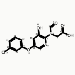 O=CN(CC(=O)O)c1ncc(Oc2cccc(Cl)c2)cc1O